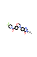 Cn1cnc2cc(N3CCOc4cc(C(=O)N5CCC(F)(F)CC5)ccc43)ccc2c1=O